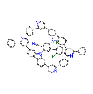 N#Cc1cc(-n2c3cc(-c4ccnc(-c5ccccc5)c4)ccc3c3ccc(-c4ccnc(-c5ccccc5)c4)cc32)c(-c2c(F)cccc2F)cc1-n1c2cc(-c3ccnc(-c4ccccc4)c3)ccc2c2ccc(-c3ccnc(-c4ccccc4)c3)cc21